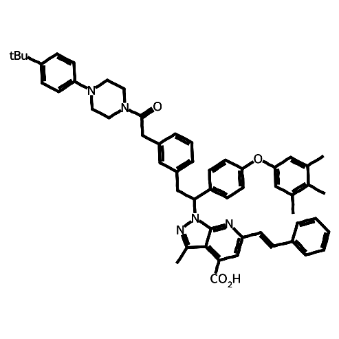 Cc1cc(Oc2ccc(C(Cc3cccc(CC(=O)N4CCN(c5ccc(C(C)(C)C)cc5)CC4)c3)n3nc(C)c4c(C(=O)O)cc(/C=C/c5ccccc5)nc43)cc2)cc(C)c1C